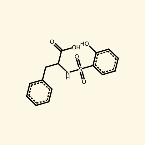 O=C(O)C(Cc1ccccc1)NS(=O)(=O)c1ccccc1O